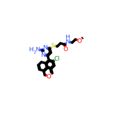 COCCNC(=O)CCSc1cc(-c2c(Cl)cc3c4c2CC=CC=4COC=3)nc(N)n1